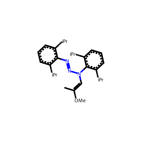 CO/C(C)=C/N(/N=N/c1c(C(C)C)cccc1C(C)C)c1c(C(C)C)cccc1C(C)C